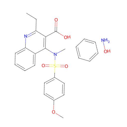 CCc1nc2ccccc2c(N(C)S(=O)(=O)c2ccc(OC)cc2)c1C(=O)O.NO.c1ccccc1